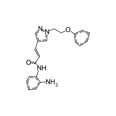 Nc1ccccc1NC(=O)C=Cc1cnn(CCOc2ccccc2)c1